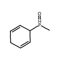 C[PH](=O)C1C=CCC=C1